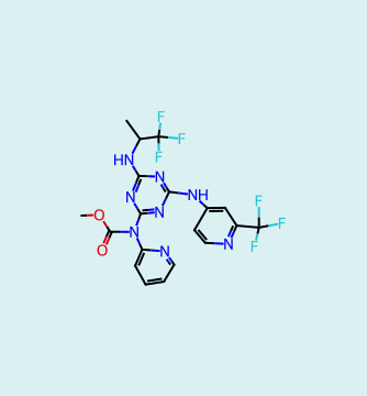 COC(=O)N(c1ccccn1)c1nc(Nc2ccnc(C(F)(F)F)c2)nc(NC(C)C(F)(F)F)n1